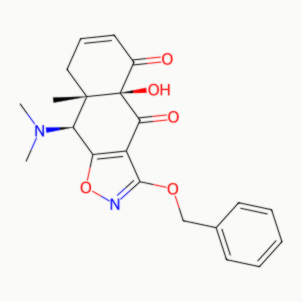 CN(C)[C@@H]1c2onc(OCc3ccccc3)c2C(=O)[C@@]2(O)C(=O)C=CC[C@@]12C